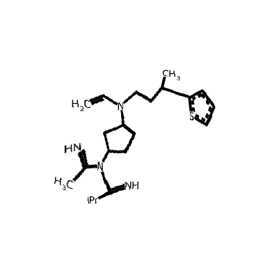 C=CN(CCC(C)c1cccs1)C1CCC(N(C(C)=N)C(=N)C(C)C)C1